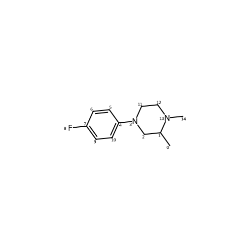 CC1CN(c2ccc(F)cc2)CCN1C